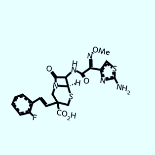 CON=C(C(=O)NC1C(=O)N2CC(C=Cc3ccccc3F)(C(=O)O)CS[C@H]12)c1csc(N)n1